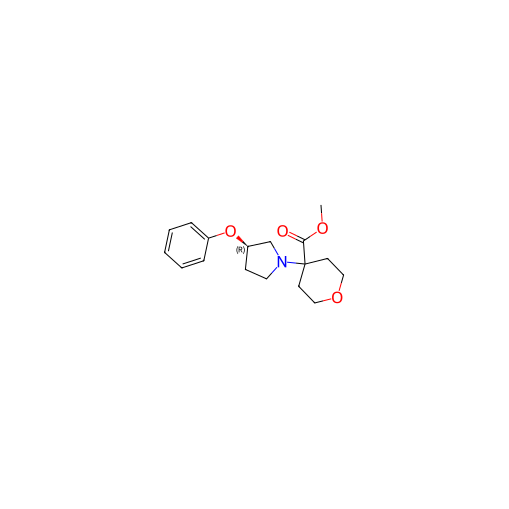 COC(=O)C1(N2CC[C@@H](Oc3ccccc3)C2)CCOCC1